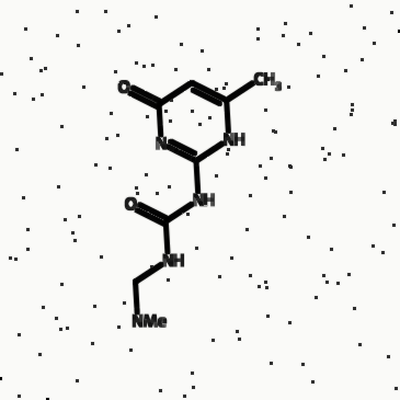 CNCNC(=O)Nc1nc(=O)cc(C)[nH]1